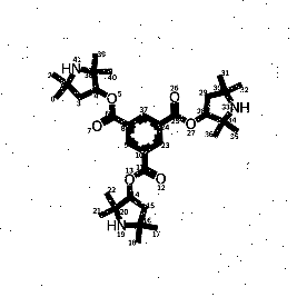 CC1(C)CC(OC(=O)c2cc(C(=O)OC3CC(C)(C)NC3(C)C)cc(C(=O)OC3CC(C)(C)NC3(C)C)c2)C(C)(C)N1